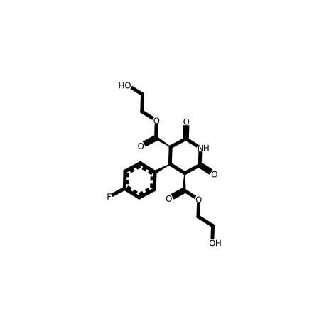 O=C1NC(=O)[C@@H](C(=O)OCCO)[C@@H](c2ccc(F)cc2)[C@H]1C(=O)OCCO